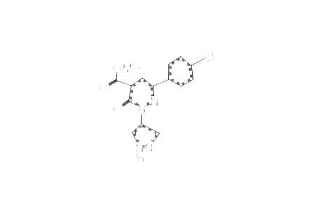 COC(=O)c1cc(-c2ccc(Cl)cc2)nn(-c2cn[nH]c2)c1=O